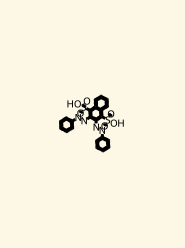 O=S(=O)(O)c1c(N=Nc2ccccc2)c(N=Nc2ccccc2)c(S(=O)(=O)O)c2ccccc12